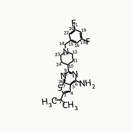 CC(C)c1cc2c(N)nc(C3CCN(Cc4cc(F)cc(F)c4)CC3)nc2s1